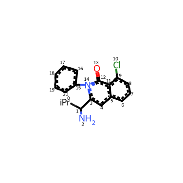 CC(C)C(N)c1cc2cccc(Cl)c2c(=O)n1-c1ccccc1